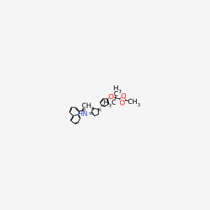 CC1OC(C(C)(C)Oc2ccc([C@@H]3CC[C@H](N[C@H](C)c4cccc5ccccc45)C3)cc2)O1